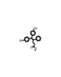 COC(=O)CC/C(=C(/c1ccc(O)cc1)c1ccc(Br)cc1)c1ccccc1